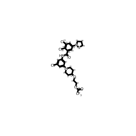 O=C(Nc1cc(Cl)cc(N2CCC(OCCOC(=O)C(F)(F)F)CC2)c1)c1cc(N2CCCS2)cc(Cl)c1Cl